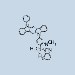 CN1c2cc(-n3c4ccccc4c4cc5c(cc43)c3ccccc3n5-c3ccccc3)ccc2C(C)(C)n2c1nc1ccccc12